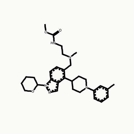 COC(=O)NCCN(C)Cc1ccc2c(cnn2C2CCCCO2)c1C1CCN(c2cccc(C)c2)CC1